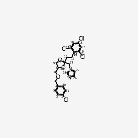 Clc1ccc(COCC2COC(CCc3c(Cl)cc(Cl)cc3Cl)(Cn3ccnc3)O2)cc1